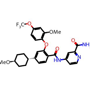 COc1cc(OC(F)(F)F)ccc1Oc1cc([C@H]2CC[C@H](OC)CC2)ccc1C(=O)Nc1ccnc(C(N)=O)c1